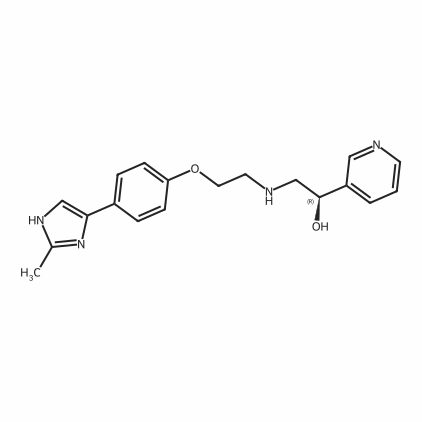 Cc1nc(-c2ccc(OCCNC[C@H](O)c3cccnc3)cc2)c[nH]1